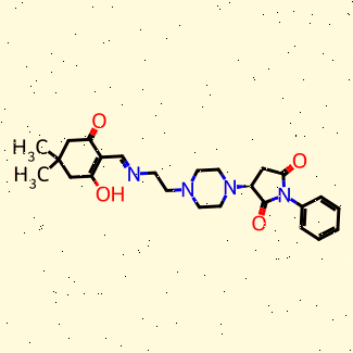 CC1(C)CC(=O)C(/C=N/CCN2CCN([C@H]3CC(=O)N(c4ccccc4)C3=O)CC2)=C(O)C1